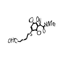 CNC(=O)c1noc2c1C(=O)C(SCCCCC=O)=CC2=O